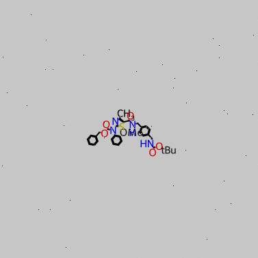 COc1ccccc1N(C(=O)OCc1ccccc1)c1nc(C)c(C(=O)NCc2ccc(CNC(=O)OC(C)(C)C)cc2)s1